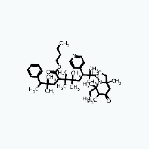 CCCCOC(=O)C(CC(C)(C)C(C)c1ccccc1)C(C)(C)C(C)(C)CC(c1ccncc1)C(C)(C)ON1C(C)(CC)CC(=O)C(C)C1(C)CC